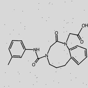 Cc1cccc(NC(=O)N2CCCc3ccccc3N(CC(=O)O)C(=O)C2)c1